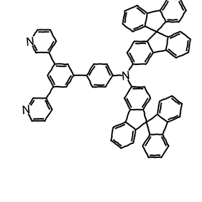 c1cncc(-c2cc(-c3ccc(N(c4ccc5c(c4)-c4ccccc4C54c5ccccc5-c5ccccc54)c4ccc5c(c4)-c4ccccc4C54c5ccccc5-c5ccccc54)cc3)cc(-c3cccnc3)c2)c1